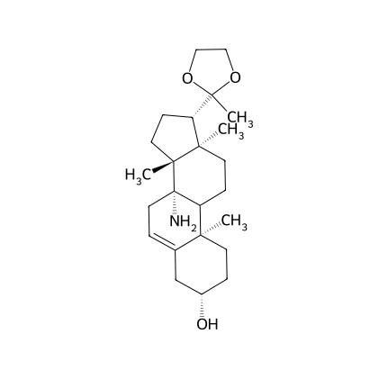 CC1([C@H]2CC[C@@]3(C)[C@]4(N)CC=C5C[C@@H](O)CC[C@]5(C)C4CC[C@]23C)OCCO1